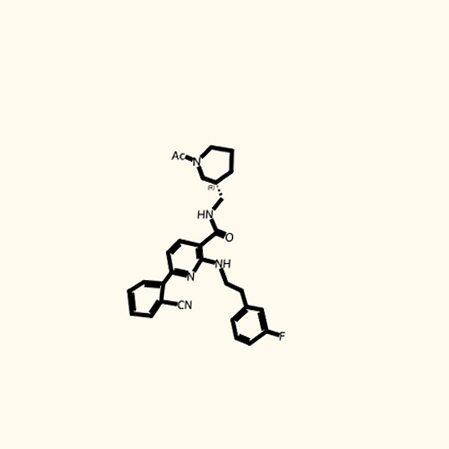 CC(=O)N1CCC[C@H](CNC(=O)c2ccc(-c3ccccc3C#N)nc2NCCc2cccc(F)c2)C1